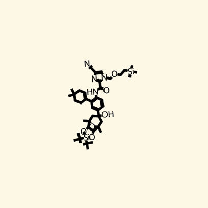 CC1(C)CC=C(c2cc(C3(O)CC4(C)OC(C)(C3)C3O[Si](C(C)(C)C)(C(C)(C)C)OC34)ccc2NC(=O)c2nc(C#N)cn2COCC[Si](C)(C)C)CC1